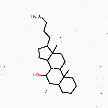 CC12CCC3C(C(O)CC4CCCCC43C)C1CCC2CCCC(=O)O